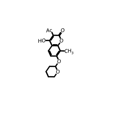 CC(=O)c1c(O)c2ccc(OC3CCCCO3)c(C)c2oc1=O